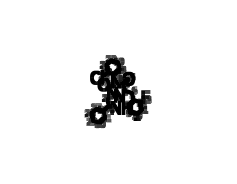 NC(Cn1nc(Cc2ccccc2F)c(=O)n(-c2ccccc2Cl)c1=O)c1ccccc1